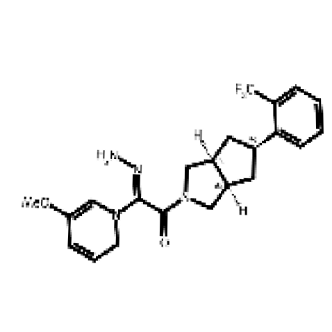 COC1=CN(C(=NN)C(=O)N2C[C@H]3C[C@@H](c4ccccc4C(F)(F)F)C[C@H]3C2)CC=C1